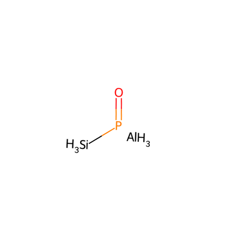 O=P[SiH3].[AlH3]